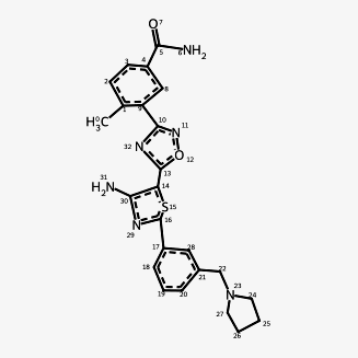 Cc1ccc(C(N)=O)cc1-c1noc(-c2sc(-c3cccc(CN4CCCC4)c3)nc2N)n1